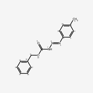 Cc1ccc(N=NNC(=O)OCc2ccccc2)cc1